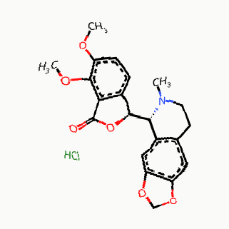 COc1ccc2c(c1OC)C(=O)O[C@@H]2[C@H]1c2cc3c(cc2CCN1C)OCO3.Cl